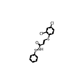 O=C(/C=C/Sc1ccc(Cl)cc1Cl)NSc1ccccc1